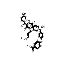 CCCCN1C(=O)[C@@H]([C@H](O)[C@H]2CC[C@H](O)CC2)NC(=O)C12CCN(Cc1ccc(Oc3ccc(C(=O)O)cc3)cc1)CC2.Cl